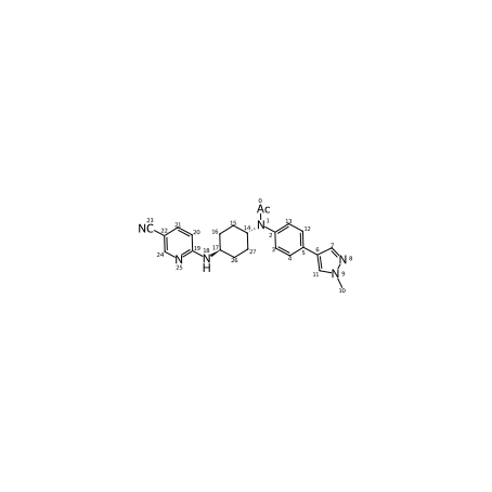 CC(=O)N(c1ccc(-c2cnn(C)c2)cc1)[C@H]1CC[C@H](Nc2ccc(C#N)cn2)CC1